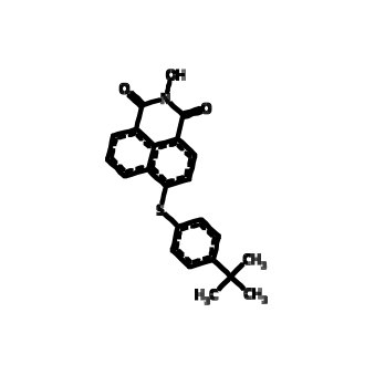 CC(C)(C)c1ccc(Sc2ccc3c4c(cccc24)C(=O)N(O)C3=O)cc1